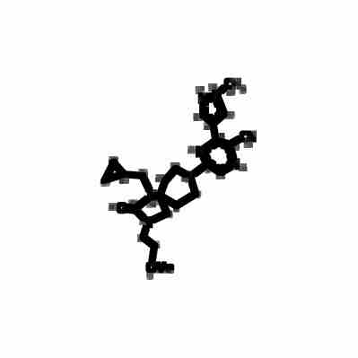 COCCN1CC2(CCN(c3cnc(C#N)c(-c4cnn(C)c4)n3)CC2)N(CC2CC2)C1=O